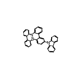 c1ccc2c(c1)B1c3ccc(-n4c5ccccc5c5ccccc54)cc3-c3ccccc3N1c1ccccc1-2